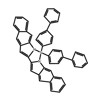 c1ccc(-c2ccc([Si]3(c4ccc(-c5ccccc5)cc4)n4c(cc5cc6ccccc6cc54)-c4cc5cc6ccccc6cc5n43)cc2)cc1